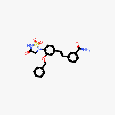 NC(=O)c1cccc(/C=C/c2ccc(N3CC(=O)NS3(=O)=O)c(OCc3ccccc3)c2)c1